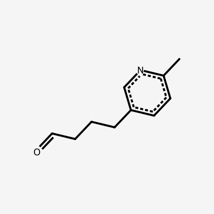 Cc1ccc(CCCC=O)cn1